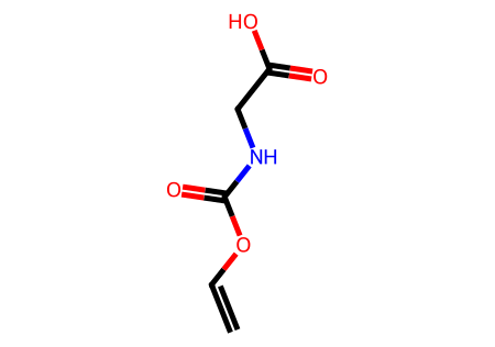 C=COC(=O)NCC(=O)O